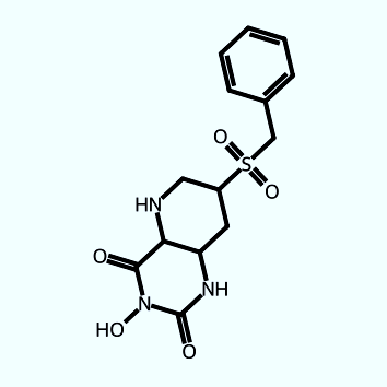 O=C1NC2CC(S(=O)(=O)Cc3ccccc3)CNC2C(=O)N1O